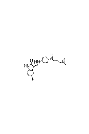 CN(C)CCCNc1ccc(NC=C2C(=O)Nc3ccc(F)cc32)cc1